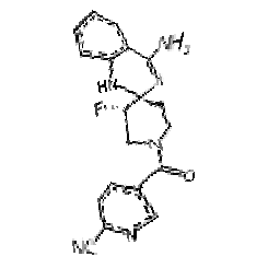 N#Cc1ccc(C(=O)N2CC[C@@]3(N=C(N)c4ccccc4N3)[C@@H](F)C2)cn1